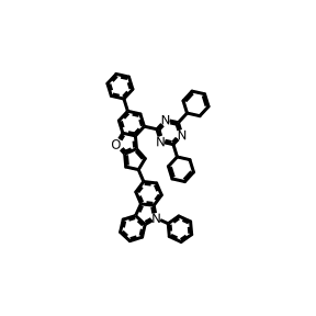 C1=CCC(c2nc(-c3cc(-c4ccccc4)cc4oc5c(c34)=CC(c3ccc4c(c3)c3ccccc3n4-c3ccccc3)C=5)nc(C3C=CC=CC3)n2)C=C1